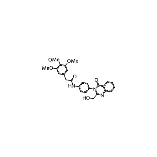 COc1cc(CC(=O)Nc2ccc(-n3c(CO)nc4ccccc4c3=O)cc2)cc(OC)c1OC